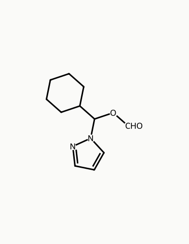 O=COC(C1CCCCC1)n1cccn1